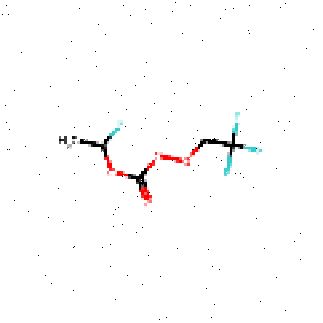 CC(F)OC(=O)OOCC(F)(F)F